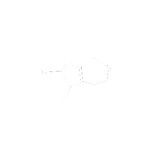 Brc1sc2c(c1Br)CCNC2